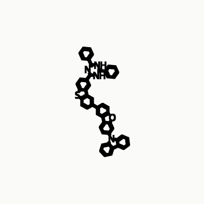 c1ccc(C2=NC(c3ccc4sc5ccc(-c6ccc7oc8cc(-n9c%10ccccc%10c%10ccccc%109)ccc8c7c6)cc5c4c3)NC(c3ccccc3)N2)cc1